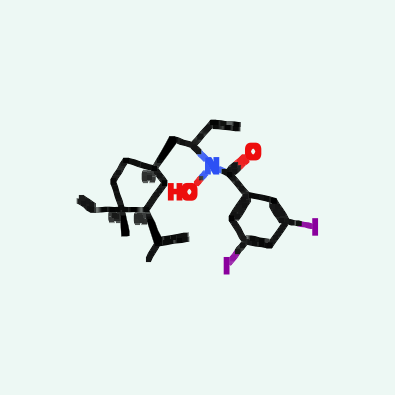 C=CC(C[C@@H]1CC[C@@](C)(C=C)[C@H](C(=C)C)C1)N(O)C(=O)c1cc(I)cc(I)c1